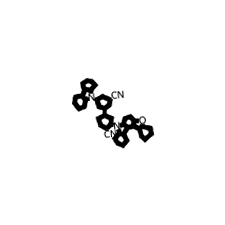 N#Cc1cc(-c2ccc(C#N)c(-n3c4ccccc4c4c5c(ccc43)oc3ccccc35)c2)cc(-n2c3ccccc3c3ccccc32)c1